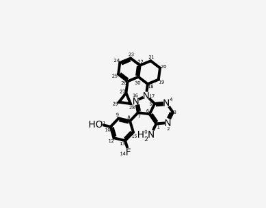 Nc1ncnc2c1c(-c1cc(O)cc(F)c1)nn2C1CCCc2cccc(C3CC3)c21